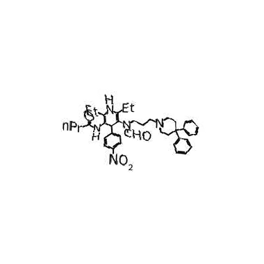 CCCC(=O)NC1=C(CC)NC(CC)=C(N(C=O)CCCN2CCC(c3ccccc3)(c3ccccc3)CC2)C1c1ccc([N+](=O)[O-])cc1